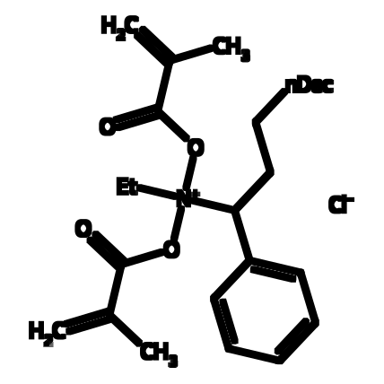 C=C(C)C(=O)O[N+](CC)(OC(=O)C(=C)C)C(CCCCCCCCCCCC)c1ccccc1.[Cl-]